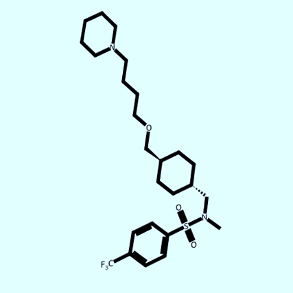 CN(C[C@H]1CC[C@H](COCCCCN2CCCCC2)CC1)S(=O)(=O)c1ccc(C(F)(F)F)cc1